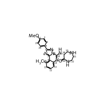 COc1ccc(-c2nc3c4c(C)cccc4nc(N[C@@H]4CNCCNC4=O)n3n2)cc1